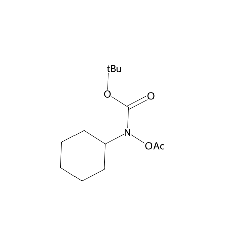 CC(=O)ON(C(=O)OC(C)(C)C)C1CCCCC1